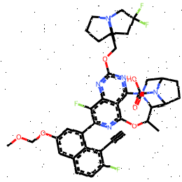 C#Cc1c(F)ccc2cc(OCOC)cc(-c3nc4c5c(nc(OCC67CCCN6CC(F)(F)C7)nc5c3F)N3CC5CCC(C3C(C)O4)N5C(=O)O)c12